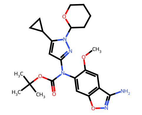 COc1cc2c(N)noc2cc1N(C(=O)OC(C)(C)C)c1cc(C2CC2)n(C2CCCCO2)n1